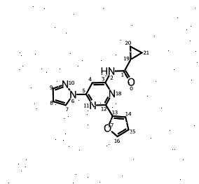 O=C(Nc1cc(-n2cccn2)nc(-c2ccco2)n1)C1CC1